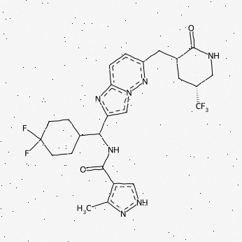 Cc1n[nH]cc1C(=O)NC(c1cn2nc(CC3C[C@@H](C(F)(F)F)CNC3=O)ccc2n1)C1CCC(F)(F)CC1